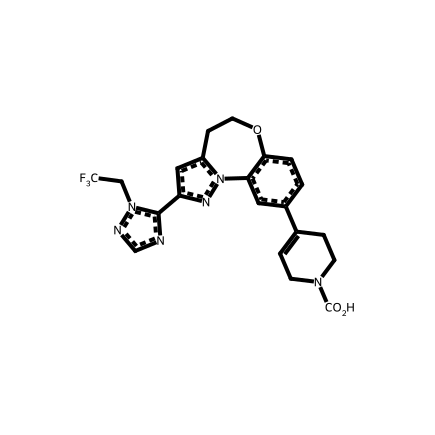 O=C(O)N1CC=C(c2ccc3c(c2)-n2nc(-c4ncnn4CC(F)(F)F)cc2CCO3)CC1